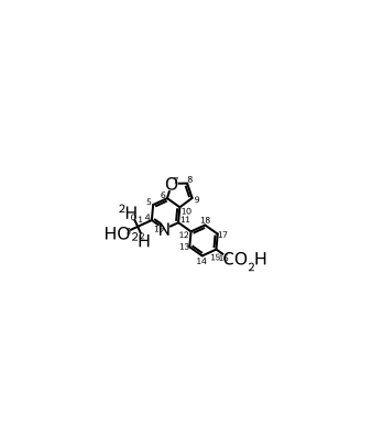 [2H]C([2H])(O)c1cc2occc2c(-c2ccc(C(=O)O)cc2)n1